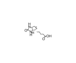 O=C(O)CCCC[C@H]1SCC2NC(=O)N[C@@H]21